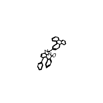 O=c1c2ccccc2c2c(-c3ccccc3)ccc3nc(-c4ccc5c6ccccc6c6ccccc6c5c4)n1c32